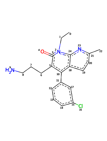 CCn1c(=O)c(CCCN)c(-c2cccc(Cl)c2)c2ccc(C)nc21